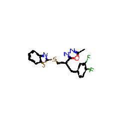 Cc1nnc(C(CSc2nc3ccccc3s2)Cc2ccc(F)c(F)c2)o1